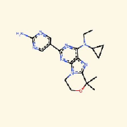 CCN(c1nc(-c2cnc(N)nc2)nc2c1nc1n2CCOC1(C)C)C1CC1